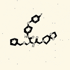 O=C(CN1CCC2(CC1)OCCO2)N[C@@H](COCc1ccccc1)C(=O)Nc1ccc(Oc2ccc(F)cc2)cc1